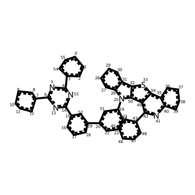 c1ccc(-c2nc(-c3ccccc3)nc(-c3cccc(-c4cccc(-n5c6ccccc6c6sc7c8ccccc8nc(-c8ccccc8)c7c65)c4)c3)n2)cc1